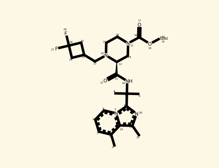 Cc1cccn2c(C(C)(C)NC(=O)[C@@H]3CN(C(=O)OC(C)(C)C)CCN3CC3CC(F)(F)C3)nc(C)c12